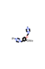 COc1cc(CN2CCN(C(C)C)CC2)ccc1OCCN1CCN(C)CC1